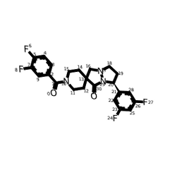 O=C(c1ccc(F)c(F)c1)N1CCC2(CC1)CN1CC[C@@H](c3cc(F)cc(F)c3)N1C2=O